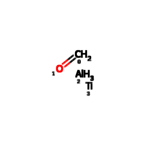 C=O.[AlH3].[Ti]